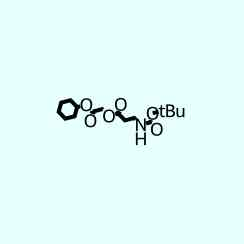 CC(C)(C)OC(=O)NCCC(=O)OCC(=O)OC1CCCCC1